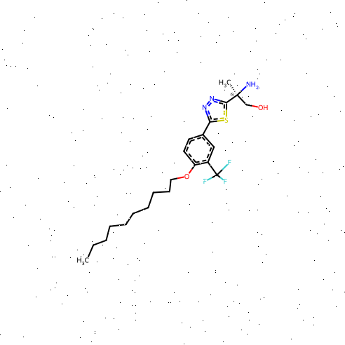 CCCCCCCCCCOc1ccc(-c2nnc([C@@](C)(N)CO)s2)cc1C(F)(F)F